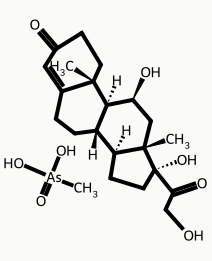 C[As](=O)(O)O.C[C@]12CCC(=O)C=C1CC[C@@H]1[C@@H]2[C@@H](O)C[C@@]2(C)[C@H]1CC[C@]2(O)C(=O)CO